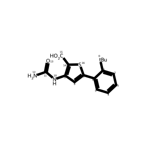 CC(C)(C)c1ccccc1-c1cc(NC(N)=O)c(C(=O)O)s1